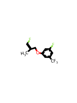 C/C(=C/F)COc1cc(F)cc(C(F)(F)F)c1